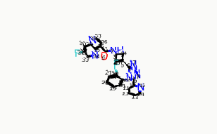 O=C(N[C@H]1C[C@H](c2nnc(-c3ccccn3)n2-c2ccccc2F)C1)c1ccnc2cc(F)cnc12